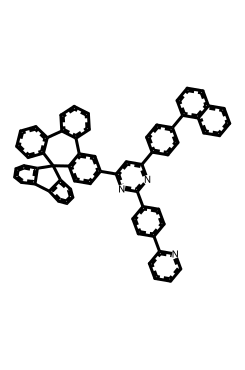 c1ccc(-c2ccc(-c3nc(-c4ccc(-c5cccc6ccccc56)cc4)cc(-c4ccc5c(c4)-c4ccccc4-c4ccccc4C54c5ccccc5-c5ccccc54)n3)cc2)nc1